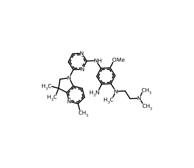 COc1cc(N(C)CCN(C)C)c(N)cc1Nc1nccc(N2CC(C)(C)c3nc(C)ccc32)n1